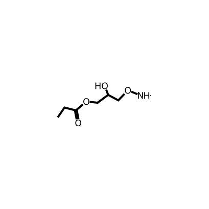 CCC(=O)OCC(O)CO[NH]